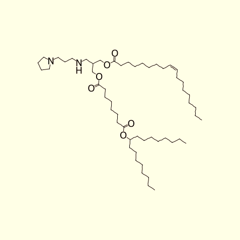 CCCCCCCC/C=C\CCCCCCCC(=O)OCC(CNCCCN1CCCC1)COC(=O)CCCCCCC(=O)OC(CCCCCCCC)CCCCCCCC